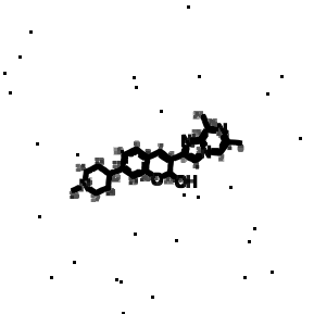 Cc1cn2cc(C3=Cc4ccc(C5CCN(C)CC5)cc4OC3O)nc2c(C)n1